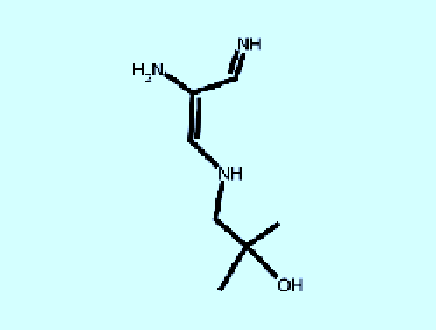 CC(C)(O)CN/C=C(/N)C=N